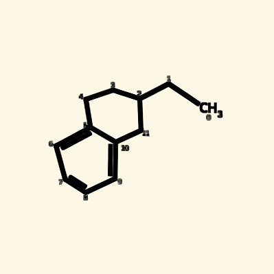 CCC1CCc2ccccc2C1